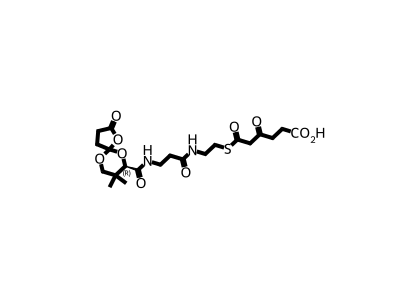 CC1(C)COC2(CCC(=O)O2)O[C@H]1C(=O)NCCC(=O)NCCSC(=O)CC(=O)CCC(=O)O